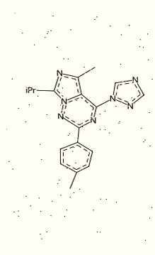 Cc1ccc(-c2nc(-n3cncn3)c3c(C)nc(C(C)C)n3n2)cc1